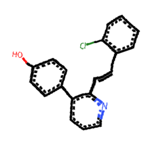 Oc1ccc(-c2cccnc2C=Cc2ccccc2Cl)cc1